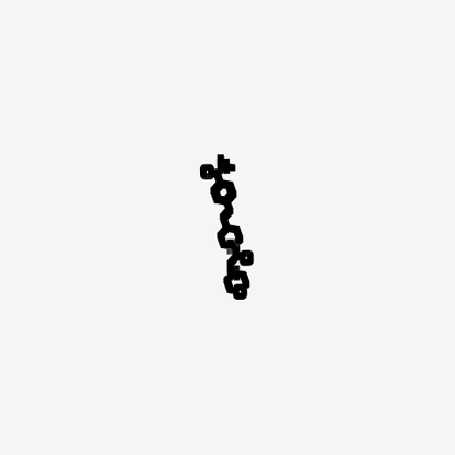 CN(C)C(=O)c1ccc(C=CC2CCN(C(=O)CN3CCOCC3)CC2)cc1